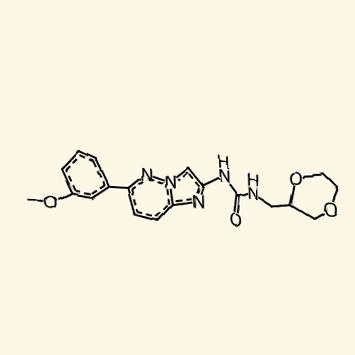 COc1cccc(-c2ccc3nc(NC(=O)NCC4COCCO4)cn3n2)c1